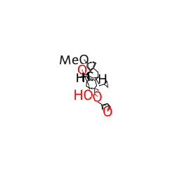 COc1ccc2c3c1O[C@@H]1[C@]34CCC(CC3CC3)[C@H](C2)C2C[C@](C)(COCc3ccoc3)[C@]1(O)CC[C@@H]24